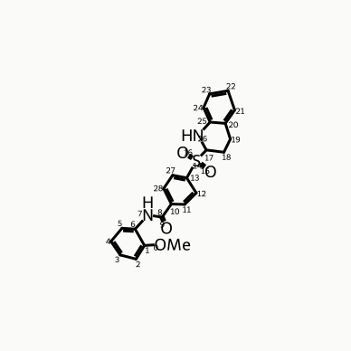 COc1ccccc1NC(=O)c1ccc(S(=O)(=O)C2CCc3ccccc3N2)cc1